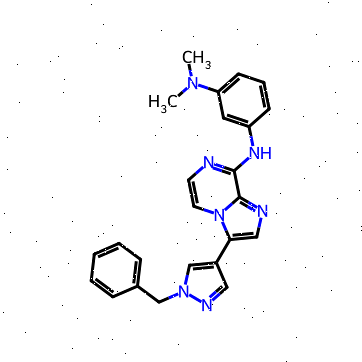 CN(C)c1cccc(Nc2nccn3c(-c4cnn(Cc5ccccc5)c4)cnc23)c1